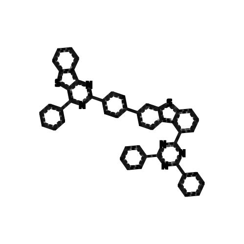 c1ccc(-c2nc(-c3ccccc3)nc(-c3cccc4sc5cc(-c6ccc(-c7nc(-c8ccccc8)c8sc9ccccc9c8n7)cc6)ccc5c34)n2)cc1